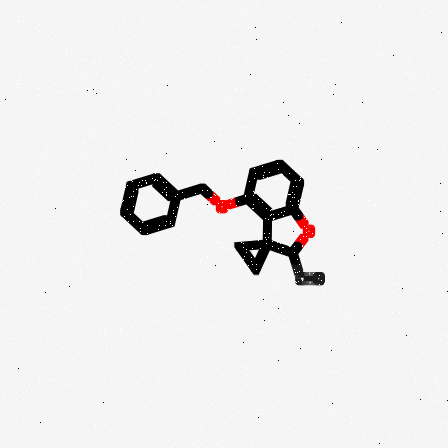 O=CC1Oc2cccc(OCc3ccccc3)c2C12CC2